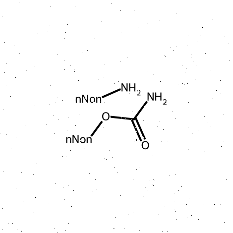 CCCCCCCCCN.CCCCCCCCCOC(N)=O